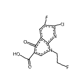 O=C(O)c1cn(CCF)c2nc(Cl)c(F)cc2c1=O